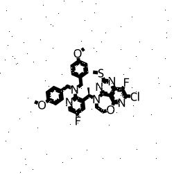 COc1ccc(CN(Cc2ccc(OC)cc2)c2ncc(F)cc2[C@@H](C)N2CCOc3nc(Cl)c(F)c4nc(SC)nc2c34)cc1